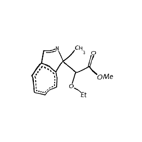 CCOC(C(=O)OC)C1(C)N=Cc2ccccc21